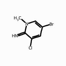 Cn1cc(Br)cc(Cl)c1=N